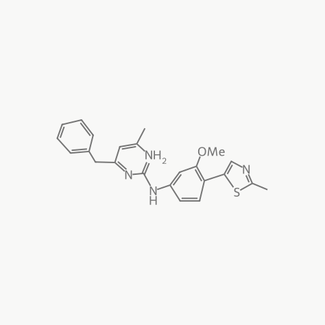 C=C(/N=C(\C=C(\C)N)Cc1ccccc1)Nc1ccc(-c2cnc(C)s2)c(OC)c1